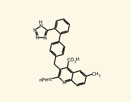 CCCCCc1nc2ccc(C)cc2c(C(=O)O)c1Cc1ccc(-c2ccccc2-c2nnn[nH]2)cc1